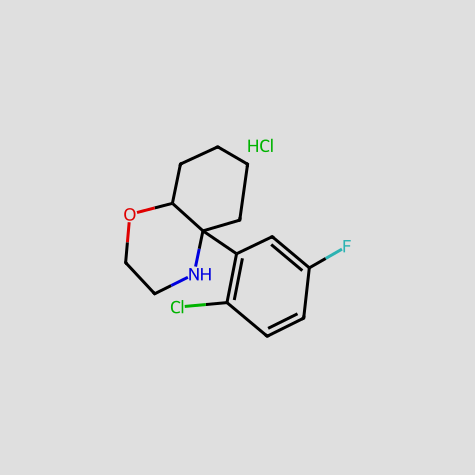 Cl.Fc1ccc(Cl)c(C23CCCCC2OCCN3)c1